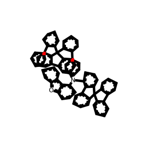 c1ccc(-c2ccccc2C2(c3ccccc3-c3ccccc3)c3ccccc3-c3cc(N(c4cccc5c4-c4ccccc4C54c5ccccc5-c5ccccc54)c4cccc5oc6ccccc6c45)ccc32)cc1